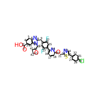 O=C(O)c1ccc2nc(Cc3cc(F)c(-c4cccc(OCc5ncc(-c6ccc(Cl)cc6)s5)n4)cc3F)n(CC3CCO3)c2c1